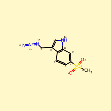 CS(=O)(=O)c1ccc2c(CN=[N+]=[N-])c[nH]c2c1